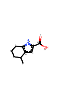 CC1CCCc2[nH]c(C(=O)O)cc21